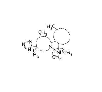 CCC12NC1(CC)N1CCCC(C)(c3ncncn3)CCC(C)CCC1C1CCC(C)CCCCCCCC12